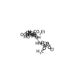 CCOC(=O)OC1(C(=O)OCNCCCCNC(=O)Cc2c(C)n(C(=O)c3ccc(Cl)cc3)c3ccc(C)cc23)CC[C@@H]2[C@H]3CCC4=CC(=O)C=C[C@@]4(C)[C@@H]3[C@H](O)C[C@]21C